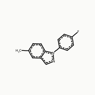 Cc1ccc2c(cnn2-c2ccc(F)cc2)c1